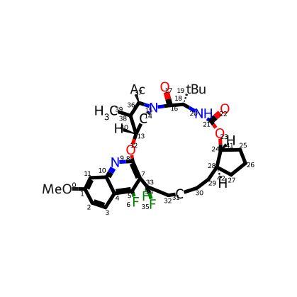 COc1ccc2c(F)c3c(nc2c1)O[C@H]1CN(C(=O)[C@H](C(C)(C)C)NC(=O)O[C@@H]2CCC[C@H]2CCCCC3(F)F)[C@H](C(C)=O)C1C